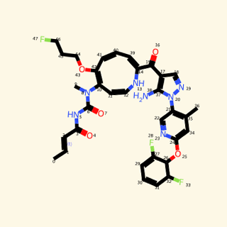 C/C=C/C(=O)NC(=O)N(C)c1cc[nH]c(C(=O)c2cnn(-c3cnc(OC4C(F)=CC=CC4F)cc3C)c2N)cccc1OCCCF